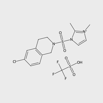 Cc1n(S(=O)(=O)N2CCc3cc(Cl)ccc3C2)cc[n+]1C.O=S(=O)(O)C(F)(F)F